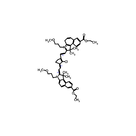 CCOC(=O)c1ccc2c(c1)C=CCC1=C2C(C)(C)C(/C=C/C2=C(Cl)C(=C/C=C3/N(CCCOC)c4ccc5cc(C(=O)OCC)ccc5c4C3(C)C)/CC2)=[N+]1CCCOC